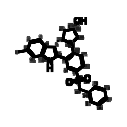 Cc1ccc2cc(-c3cc(S(=O)(=O)Cc4ccccc4)ccc3N3CC[C@H](O)C3)[nH]c2c1